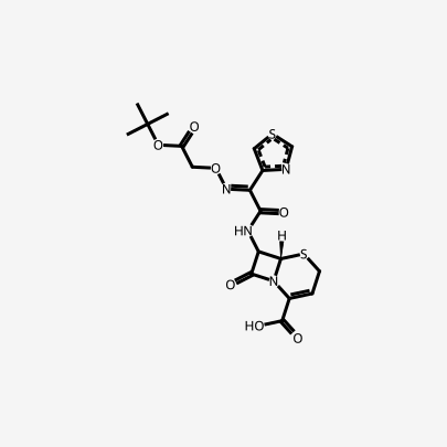 CC(C)(C)OC(=O)CON=C(C(=O)NC1C(=O)N2C(C(=O)O)=CCS[C@@H]12)c1cscn1